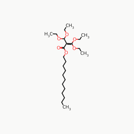 CCCCCCCCCCCCOC(=O)C(=C(OCC)OCC)C(OCC)OCC